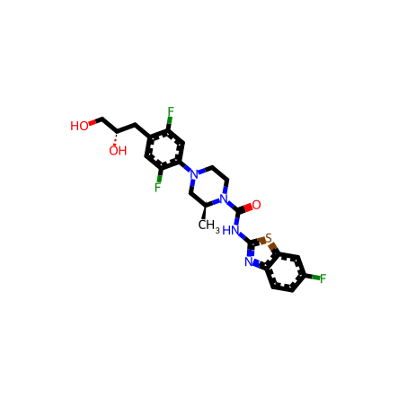 C[C@H]1CN(c2cc(F)c(C[C@H](O)CO)cc2F)CCN1C(=O)Nc1nc2ccc(F)cc2s1